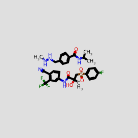 CC(O)(CS(=O)(=O)c1ccc(F)cc1)C(=O)Nc1ccc(C#N)c(C(F)(F)F)c1.CNNCc1ccc(C(=O)NC(C)C)cc1